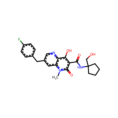 Cn1c(=O)c(C(=O)NC2(CO)CCCC2)c(O)c2ncc(Cc3ccc(F)cc3)cc21